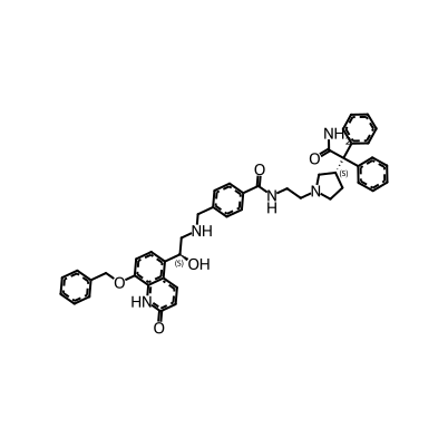 NC(=O)C(c1ccccc1)(c1ccccc1)[C@@H]1CCN(CCNC(=O)c2ccc(CNC[C@@H](O)c3ccc(OCc4ccccc4)c4[nH]c(=O)ccc34)cc2)C1